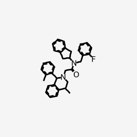 Cc1ccccc1C1c2ccccc2C(C)CN1CC(=O)N(Cc1ccccc1F)C1Cc2ccccc2C1